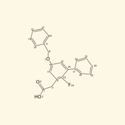 O=C(O)Cc1cc(OCc2ccccc2)cc(-c2ccccc2)c1F